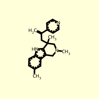 C=C(CC1(C)CN(C)Cc2c1[nH]c1ccc(C)cc21)c1ccncc1